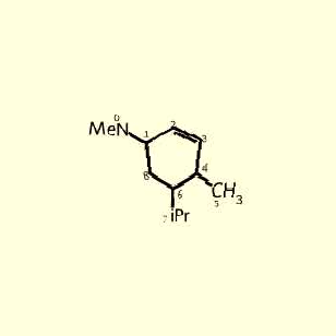 CNC1C=CC(C)C(C(C)C)C1